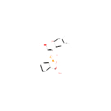 CCc1cc2c(OS(=O)(=O)c3ccccc3C(=O)OC)cc(=O)oc2cc1C